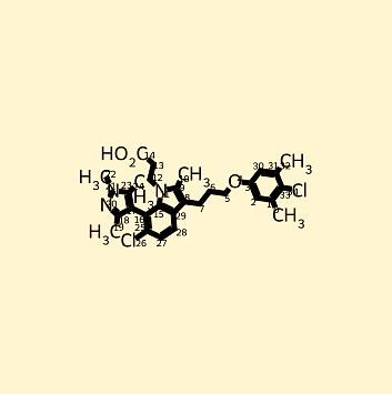 Cc1cc(OCCCc2c(C)n(CCC(=O)O)c3c(-c4c(C)nn(C)c4C)c(Cl)ccc23)cc(C)c1Cl